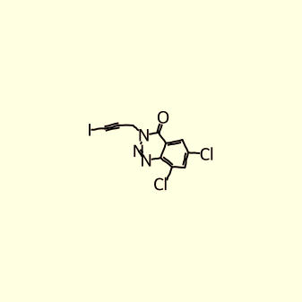 O=c1c2cc(Cl)cc(Cl)c2nnn1CC#CI